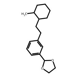 CC1CCCCC1CCc1cccc(C2OCCO2)c1